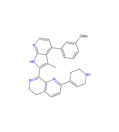 COc1cccc(-c2ccnc3[nH]c(C4=NCCc5ccc(C6=CCNCC6)nc54)c(C)c23)c1